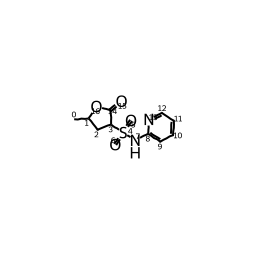 CC1CC(S(=O)(=O)Nc2ccccn2)C(=O)O1